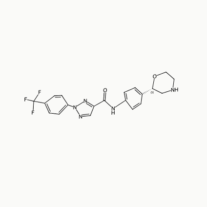 O=C(Nc1ccc([C@H]2CNCCO2)cc1)c1cnn(-c2ccc(C(F)(F)F)cc2)n1